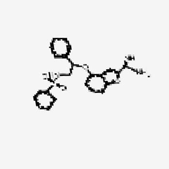 N=C(N)c1cc2c(OC(CNS(=O)(=O)c3ccccc3)c3ccccc3)cccc2s1